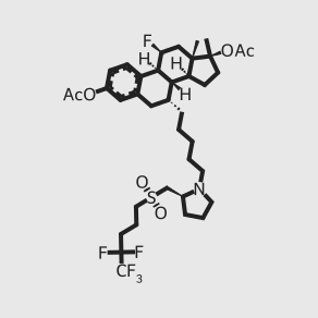 CC(=O)Oc1ccc2c(c1)C[C@@H](CCCCCN1CCC[C@H]1CS(=O)(=O)CCCC(F)(F)C(F)(F)F)[C@@H]1[C@@H]2[C@@H](F)C[C@@]2(C)[C@H]1CC[C@]2(C)OC(C)=O